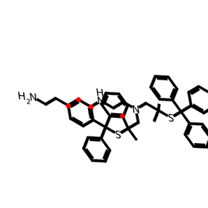 CC(C)(CN(CCNCCCCCN)CC(C)(C)SC(c1ccccc1)(c1ccccc1)c1ccccc1)SC(c1ccccc1)(c1ccccc1)c1ccccc1